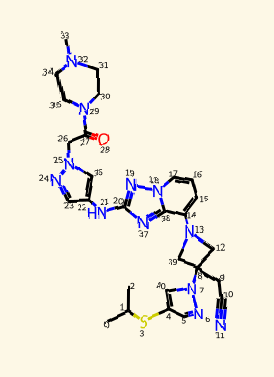 CC(C)Sc1cnn(C2(CC#N)CN(c3cccn4nc(Nc5cnn(CC(=O)N6CCN(C)CC6)c5)nc34)C2)c1